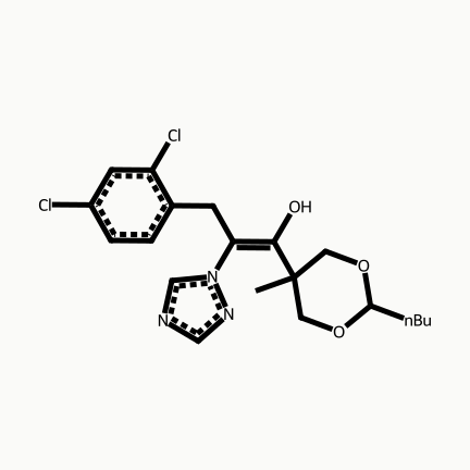 CCCCC1OCC(C)(/C(O)=C(/Cc2ccc(Cl)cc2Cl)n2cncn2)CO1